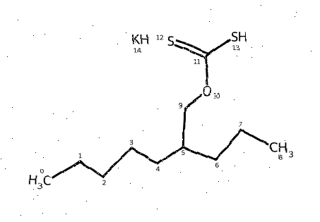 CCCCCC(CCC)COC(=S)S.[KH]